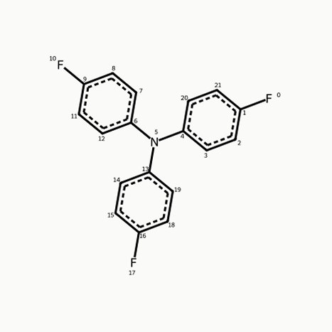 Fc1ccc(N(c2ccc(F)cc2)c2ccc(F)cc2)cc1